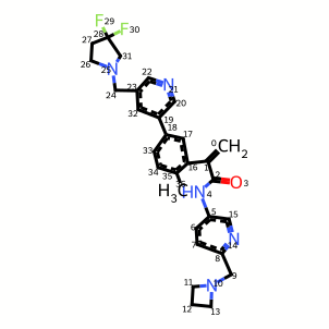 C=C(C(=O)Nc1ccc(CN2CCC2)nc1)c1cc(-c2cncc(CN3CCC(F)(F)C3)c2)ccc1C